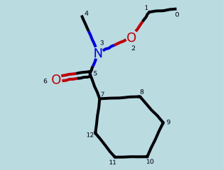 CCON(C)C(=O)C1CCCCC1